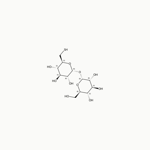 OC[C@H]1O[C@H](O[C@H]2O[C@H](CS)[C@@H](O)[C@H](O)[C@H]2O)[C@H](O)[C@@H](O)[C@@H]1O